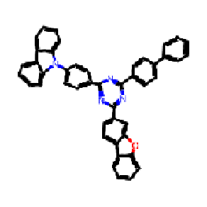 c1ccc(-c2ccc(-c3nc(-c4ccc(-n5c6ccccc6c6ccccc65)cc4)nc(-c4ccc5c(c4)oc4ccccc45)n3)cc2)cc1